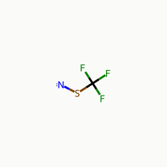 [N]SC(F)(F)F